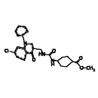 COC(=O)[C@H]1CC[C@@H](NC(=O)NCc2cn(-c3ccccc3)c3cc(Cl)ccc3c2=O)CC1